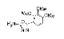 COc1ccc(-c2nnc(N)o2)c(OC)c1OC